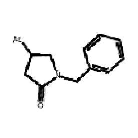 CC(=O)C1CC(=O)N(Cc2ccccc2)C1